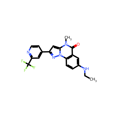 CCNc1ccc2c(c1)c(=O)n(C)c1cc(-c3ccnc(C(F)(F)F)c3)nn21